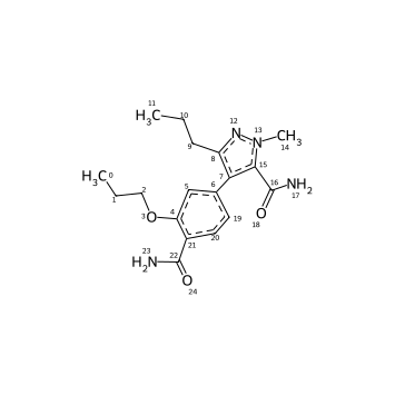 CCCOc1cc(-c2c(CCC)nn(C)c2C(N)=O)ccc1C(N)=O